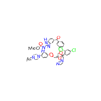 CC(=O)N1CCN(c2ccc(OC[C@H]3CO[C@](Cn4ccnc4)(c4ccc(Cl)cc4Cl)O3)cc2)CC1.COC(=O)Nc1nc2cc(C(=O)c3ccccc3)ccc2[nH]1